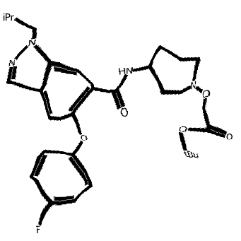 CC(C)Cn1ncc2cc(Oc3ccc(F)cc3)c(C(=O)NC3CCN(OC(=O)OC(C)(C)C)C3)cc21